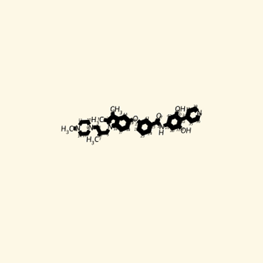 Cc1c(C)n(CC(C)CN2CCN(C)CC2)c2ccc(Oc3cccc(C(=O)Nc4cc(O)c(-c5ccncc5)c(O)c4)c3)cc12